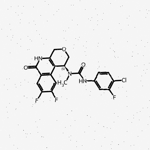 CN(C(=O)Nc1ccc(Cl)c(F)c1)[C@@H]1COCc2[nH]c(=O)c3cc(F)c(F)cc3c21